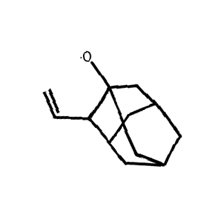 C=CC1C2CC3CC(C2)CC1([O])C3